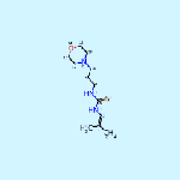 CC(C)=CNC(=S)NCCCN1CCOCC1